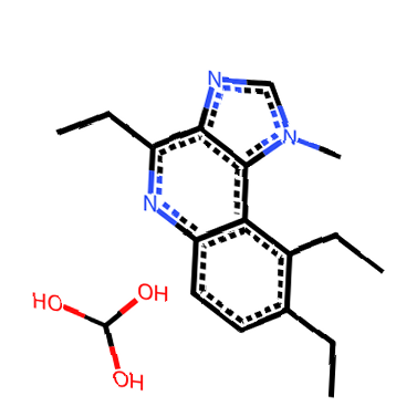 CCc1ccc2nc(CC)c3ncn(C)c3c2c1CC.OC(O)O